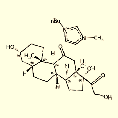 CCCC[n+]1ccn(C)c1.C[C@]12CC[C@@H](O)C[C@H]1CC[C@@H]1[C@@H]2C(=O)C[C@@]2(C)[C@H]1CC[C@]2(O)C(=O)CO